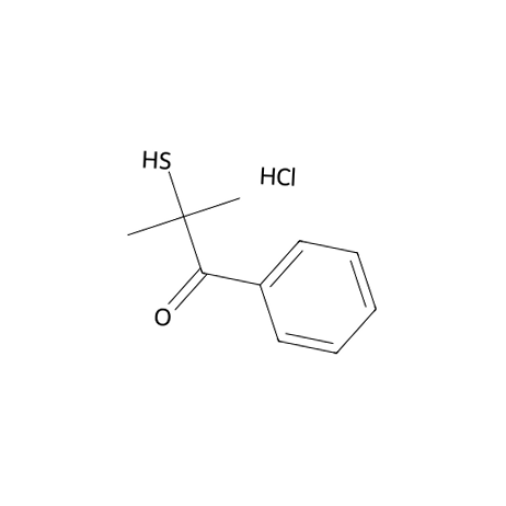 CC(C)(S)C(=O)c1ccccc1.Cl